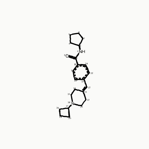 O=C(NC1CCCC1)c1ccc(C=C2CCN(C3CCC3)CC2)cc1